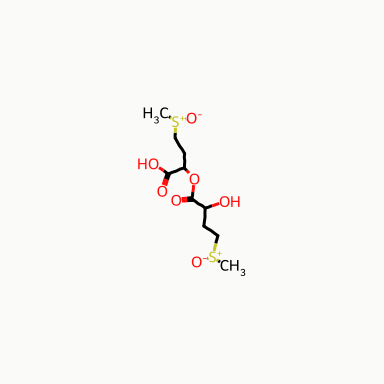 C[S+]([O-])CCC(O)C(=O)OC(CC[S+](C)[O-])C(=O)O